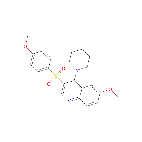 COc1ccc(S(=O)(=O)c2cnc3ccc(OC)cc3c2N2CCCCC2)cc1